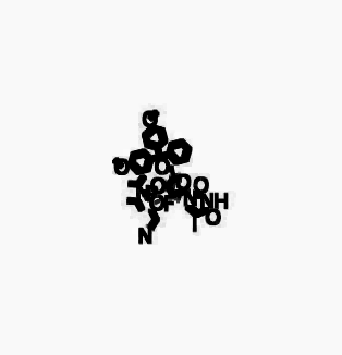 COc1ccc(C(OC[C@H]2O[C@@H](n3cc(I)c(=O)[nH]c3=O)[C@H](F)[C@@H]2OP(OCCC#N)N(C(C)C)C(C)C)(c2ccccc2)c2ccc(OC)cc2)cc1